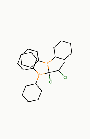 CC(Cl)C(Cl)(P(C1CCCCC1)C1CCCCC1)P(C1CCCCC1)C1CCCCC1